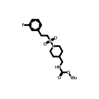 CC(C)(C)OC(=O)NCC1CCN(S(=O)(=O)CCc2cccc(F)c2)CC1